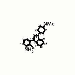 CNC1CCC(n2cc(-c3cccc(N)c3C)c3ccccc32)CC1